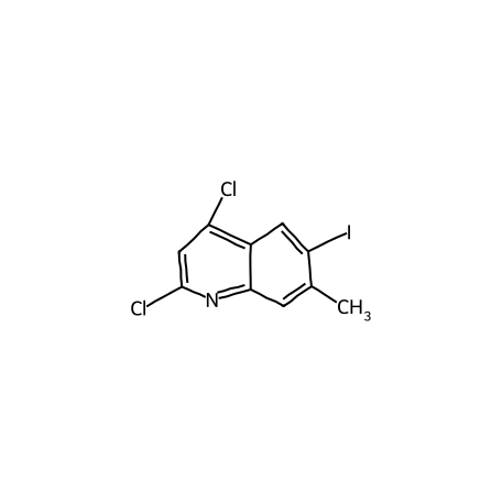 Cc1cc2nc(Cl)cc(Cl)c2cc1I